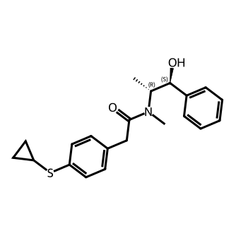 C[C@H]([C@@H](O)c1ccccc1)N(C)C(=O)Cc1ccc(SC2CC2)cc1